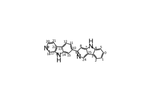 c1ccc2c(c1)[nH]c1cc(-c3ccc4c(c3)[nH]c3cnccc34)ncc12